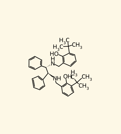 CC(C)(C)c1cccc(CN[C@@H](c2ccccc2)[C@@H](NCc2cccc(C(C)(C)C)c2O)c2ccccc2)c1O